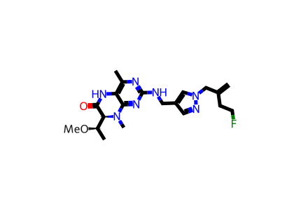 C=C(CCF)Cn1cc(CNc2nc(C)c3c(n2)N(C)[C@@H]([C@@H](C)OC)C(=O)N3)cn1